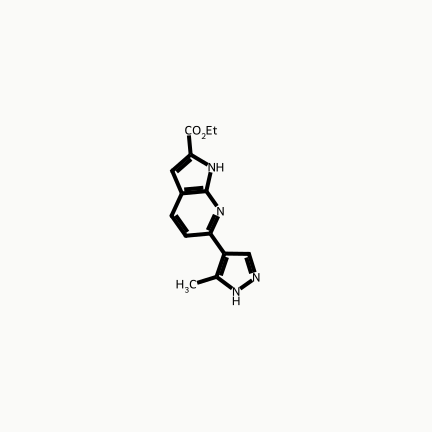 CCOC(=O)c1cc2ccc(-c3cn[nH]c3C)nc2[nH]1